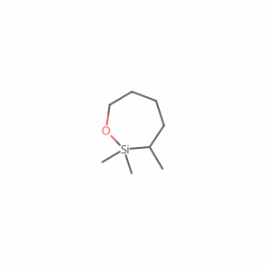 CC1CCCCO[Si]1(C)C